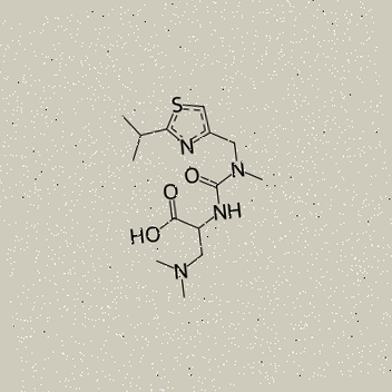 CC(C)c1nc(CN(C)C(=O)NC(CN(C)C)C(=O)O)cs1